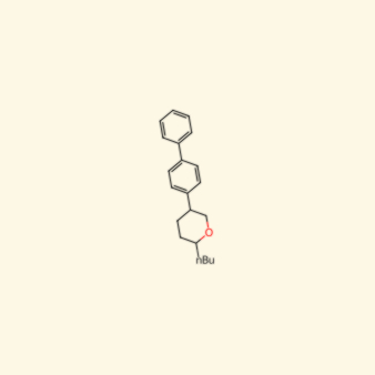 CCCCC1CCC(c2ccc(-c3ccccc3)cc2)CO1